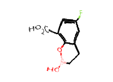 O=C(O)c1cc(F)cc2c1OB(O)CC2